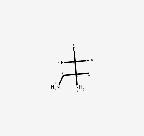 CC(N)(CN)C(F)(F)F